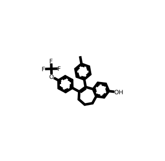 Cc1ccc(C2=C(c3ccc(OC(F)(F)F)cc3)CCCc3cc(O)ccc32)cc1